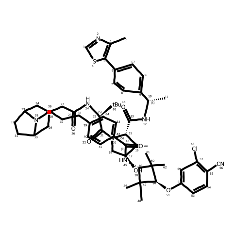 Cc1ncsc1-c1ccc([C@H](C)NC(=O)[C@@H]2C[C@@H](O)CN2C(=O)[C@@H](NC(=O)CN2CC3CCC(C2)N3CCCc2ccc(C(=O)N[C@H]3C(C)(C)[C@H](Oc4ccc(C#N)c(Cl)c4)C3(C)C)cc2)C(C)(C)C)cc1